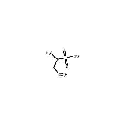 CN(CC(=O)O)S(=O)(=O)C(C)(C)C